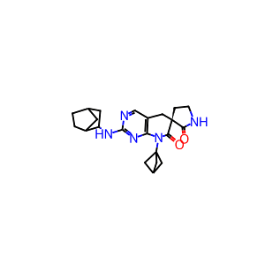 O=C1NCC[C@@]12Cc1cnc(NC3CC4CCC3C4)nc1N(C13CC(C1)C3)C2=O